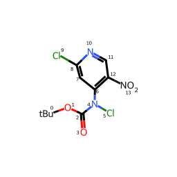 CC(C)(C)OC(=O)N(Cl)c1cc(Cl)ncc1[N+](=O)[O-]